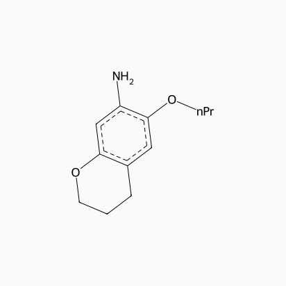 CCCOc1cc2c(cc1N)OCCC2